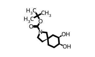 CC(C)(C)OC(=O)N1CC[C@@]2(CC[C@H](O)[C@H](O)C2)C1